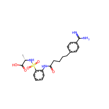 C[C@H](NS(=O)(=O)c1ccccc1NC(=O)CCCCc1ccc(C(=N)N)cc1)C(=O)O